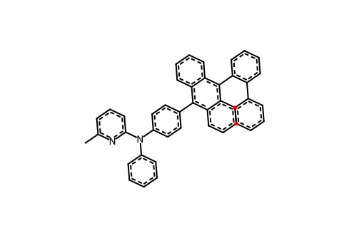 Cc1cccc(N(c2ccccc2)c2ccc(-c3c4ccccc4c(-c4ccccc4-c4ccccc4)c4ccccc34)cc2)n1